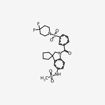 CS(=O)(=O)Nc1ccc2c(c1)C1(CCCC1)CN2C(=O)c1cccc(S(=O)(=O)N2CCC(F)(F)CC2)c1